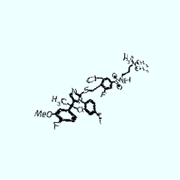 COc1cc(C(C)(C)c2cnc(SCc3c(F)cc(S(=O)(=O)NCCC[N+](C)(C)C)cc3Cl)n2-c2ccc(F)cc2)ccc1F